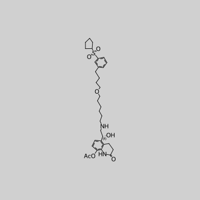 CC(=O)Oc1ccc([C@@H](O)CNCCCCCCOCCCCc2cccc(S(=O)(=O)C3CCCC3)c2)c2c1NC(=O)CC2